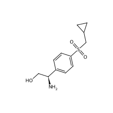 N[C@@H](CO)c1ccc(S(=O)(=O)CC2CC2)cc1